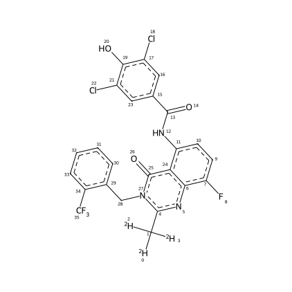 [2H]C([2H])([2H])c1nc2c(F)ccc(NC(=O)c3cc(Cl)c(O)c(Cl)c3)c2c(=O)n1Cc1ccccc1C(F)(F)F